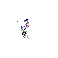 Cc1ccc([C@@H](F)CNC(=O)CCN2CCC2)cc1